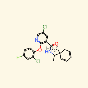 CC(NC(=O)c1cc(Cl)cnc1Oc1ccc(F)cc1Cl)C1(C(=O)O)C=CC=CC1